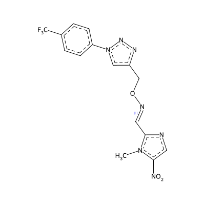 Cn1c([N+](=O)[O-])cnc1/C=N/OCc1cn(-c2ccc(C(F)(F)F)cc2)nn1